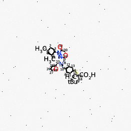 Cc1ccc(N2N=C(CN(Cc3ccc(SC(C)(CC(C)(C)C)C(=O)O)cc3)Cc3ccco3)OCC2=O)c(C)c1